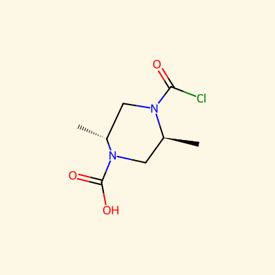 C[C@@H]1CN(C(=O)Cl)[C@@H](C)CN1C(=O)O